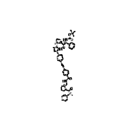 C[C@@H](C(=O)N1CCC[C@H]1CNC(=O)c1ccc(C#Cc2ccc(-c3cnc([C@@H]4CCCN4C(=O)[C@H](NC(=O)OC(C)(C)C)c4ccccc4)[nH]3)cc2)cc1)c1ccccc1